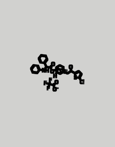 O=C(C[N+]12CCC(CC1)[C@@H](OC(=O)C(Nc1ccccc1)c1ccccc1)C2)c1ccc(Cl)s1.O=C([O-])C(F)(F)F